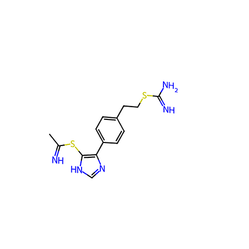 CC(=N)Sc1[nH]cnc1-c1ccc(CCSC(=N)N)cc1